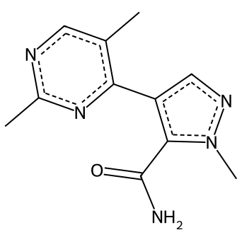 Cc1ncc(C)c(-c2cnn(C)c2C(N)=O)n1